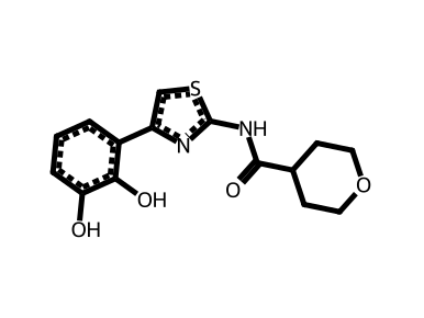 O=C(Nc1nc(-c2cccc(O)c2O)cs1)C1CCOCC1